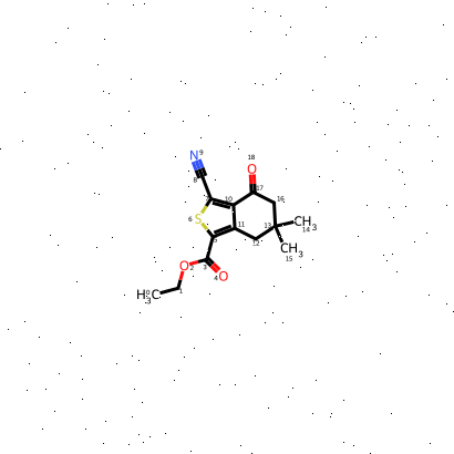 CCOC(=O)c1sc(C#N)c2c1CC(C)(C)CC2=O